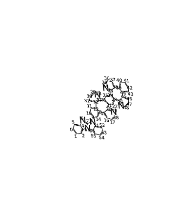 c1ccc2c(c1)nc1n(-c3ccc4c(c3)c3cccnc3c3cc5c(cc3c3ncccc43)c3ncccc3c3ccccc3c3cccnc35)c3ccccc3n21